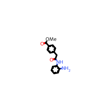 COC(=O)c1ccc(CC(=O)Nc2ccccc2N)cc1